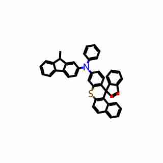 CC1c2ccccc2-c2ccc(N(c3ccccc3)c3ccc4c(c3)Sc3ccc5ccccc5c3C43c4ccccc4-c4ccccc43)cc21